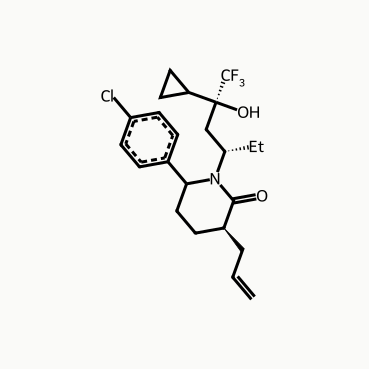 C=CC[C@H]1CCC(c2ccc(Cl)cc2)N([C@@H](CC)C[C@](O)(C2CC2)C(F)(F)F)C1=O